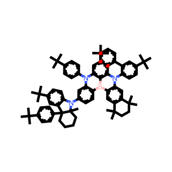 CC(C)(C)c1ccc(N2c3cc(N4c5ccc(C(C)(C)C)cc5C5(c6ccc(C(C)(C)C)cc6)CCCCC45C)ccc3B3c4cc5c(cc4N(c4ccc(C(C)(C)C)cc4-c4ccccc4)c4cc(C(C)(C)C)cc2c43)C(C)(C)CCC5(C)C)cc1